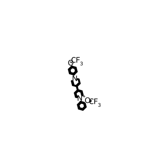 FC(F)(F)Oc1ccc(N2C=CC(c3cc[n+](-c4ccccc4OC(F)(F)F)cc3)=CC2)cc1